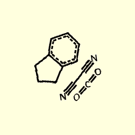 N#CC#N.O=C=O.c1ccc2c(c1)CCC2